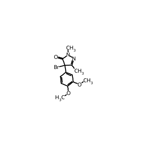 COc1ccc(C2(Br)C(=O)N(C)N=C2C)cc1OC